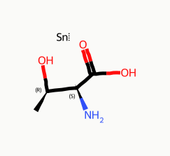 C[C@@H](O)[C@H](N)C(=O)O.[Sn]